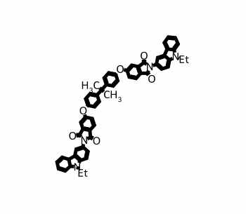 CCN1c2ccc(N3C(=O)c4ccc(Oc5ccc(C(C)(C)c6ccc(Oc7ccc8c(c7)C(=O)N(c7ccc9c(c7)c7ccccc7n9CC)C8=O)cc6)cc5)cc4C3=O)cc2C2C=CC=CC21